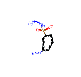 NNS(=O)(=O)c1cccc(N)c1